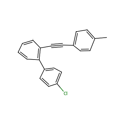 Cc1ccc(C#Cc2[c]cccc2-c2ccc(Cl)cc2)cc1